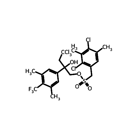 Cc1cc(CS(=O)(=O)OCC(O)(CC(Cl)(Cl)Cl)c2cc(C)c(C(F)(F)F)c(C)c2)c(Cl)c(C)c1Cl